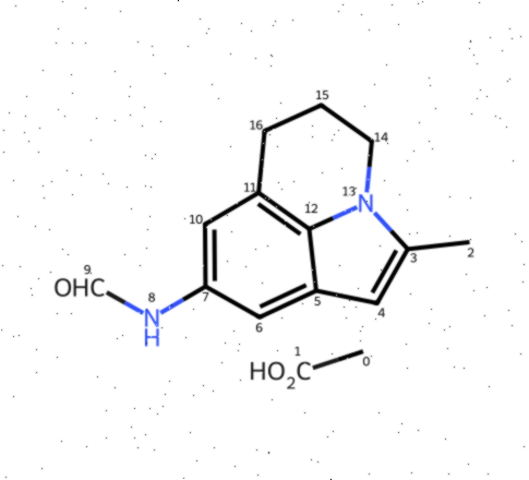 CC(=O)O.Cc1cc2cc(NC=O)cc3c2n1CCC3